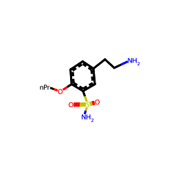 CCCOc1ccc(CCN)cc1S(N)(=O)=O